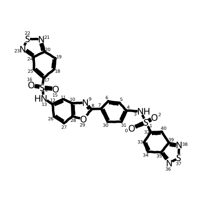 O=S(=O)(Nc1ccc(-c2nc3cc(NS(=O)(=O)c4ccc5nsnc5c4)ccc3o2)cc1)c1ccc2nsnc2c1